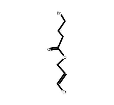 CCC=CCOC(=O)CCCBr